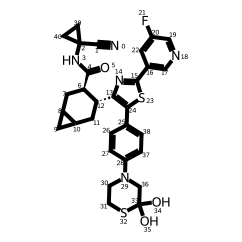 N#CC1(NC(=O)[C@@H]2CC3CC3C[C@H]2c2nc(-c3cncc(F)c3)sc2-c2ccc(N3CCSC(O)(O)C3)cc2)CC1